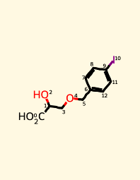 O=C(O)C(O)COCc1ccc(I)cc1